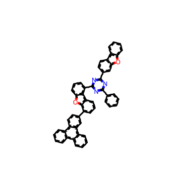 c1ccc(-c2nc(-c3ccc4c(c3)oc3ccccc34)nc(-c3cccc4oc5c(-c6ccc7c8ccccc8c8ccccc8c7c6)cccc5c34)n2)cc1